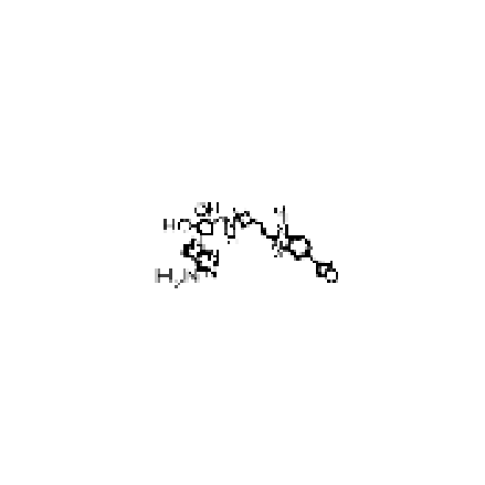 CC1(NC[C@H]2C[C@@H](n3ccc4c(N)ncnc43)[C@H](O)[C@@H]2O)CC(CCc2nc3cc(C4COC4)ccc3[nH]2)C1